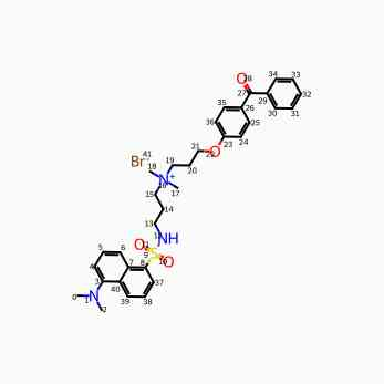 CN(C)c1cccc2c(S(=O)(=O)NCCC[N+](C)(C)CCCOc3ccc(C(=O)c4ccccc4)cc3)cccc12.[Br-]